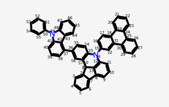 C[C@@]12c3ccccc3-c3cccc(c31)N(c1ccc3c4ccccc4c4ccccc4c3c1)c1ccc(-c3cccc4c3c3ccccc3n4-c3ccccc3)cc12